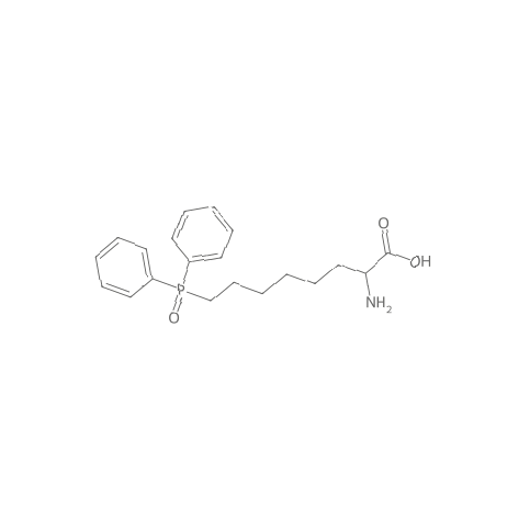 NC(CCCCCCP(=O)(c1ccccc1)c1ccccc1)C(=O)O